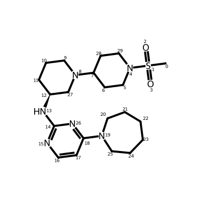 CS(=O)(=O)N1CCC(N2CCC[C@H](Nc3nccc(N4CCCCCC4)n3)C2)CC1